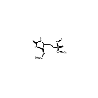 CCOP(=O)(CCC1NC(=O)NC1=NOC)OCC